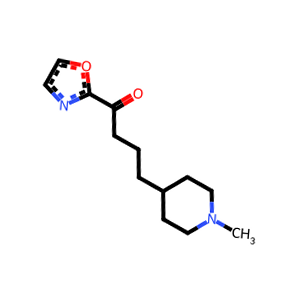 CN1CCC(CCCC(=O)c2ncco2)CC1